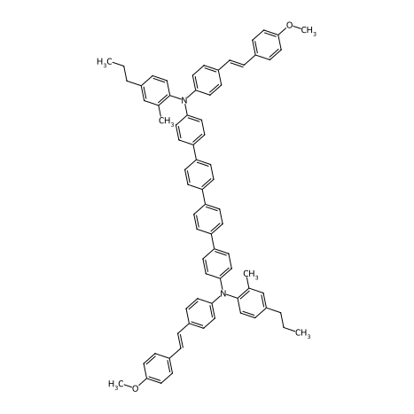 CCCc1ccc(N(c2ccc(/C=C/c3ccc(OC)cc3)cc2)c2ccc(-c3ccc(-c4ccc(-c5ccc(N(c6ccc(/C=C/c7ccc(OC)cc7)cc6)c6ccc(CCC)cc6C)cc5)cc4)cc3)cc2)c(C)c1